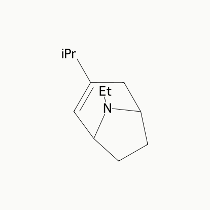 CCN1C2C=C(C(C)C)CC1CC2